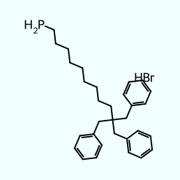 Br.PCCCCCCCCCC(Cc1ccccc1)(Cc1ccccc1)Cc1ccccc1